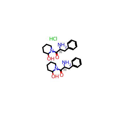 Cl.N[C@@H](Cc1ccccc1)C(=O)N1CCCCC1O.N[C@@H](Cc1ccccc1)C(=O)N1CCCCC1O